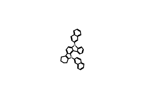 c1ccc2cc(-n3c4c(c5ccc6c(c7ccccc7n6-c6ccc7ccccc7c6)c53)CCCC4)ccc2c1